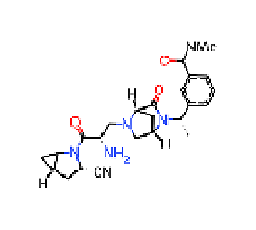 CNC(=O)c1cccc([C@H](C)N2C(=O)[C@@H]3C[C@H]2CN3C[C@H](N)C(=O)N2C3C[C@H]3C[C@H]2C#N)c1